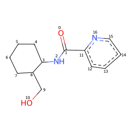 O=C(NC1CCCCC1CO)c1ccccn1